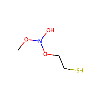 CON(O)OCCS